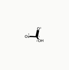 O=[C](O)[Os]